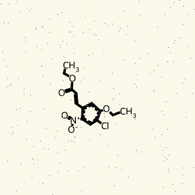 CCOC(=O)/C=C/c1cc(OCC)c(Cl)cc1[N+](=O)[O-]